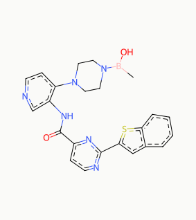 CB(O)N1CCN(c2ccncc2NC(=O)c2ccnc(-c3cc4ccccc4s3)n2)CC1